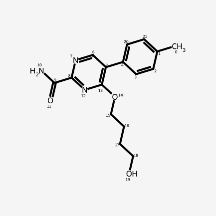 Cc1ccc(-c2[c]nc(C(N)=O)nc2OCCCCO)cc1